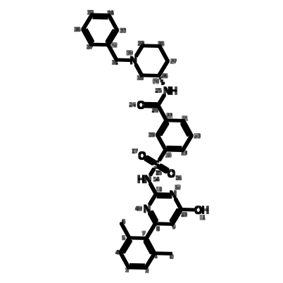 Cc1cccc(C)c1-c1cc(O)nc(NS(=O)(=O)c2cccc(C(=O)N[C@H]3CCCN(Cc4ccccc4)C3)c2)n1